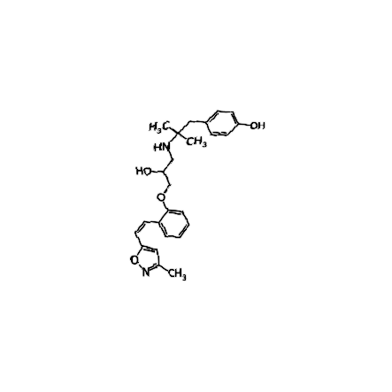 Cc1cc(/C=C\c2ccccc2OCC(O)CNC(C)(C)Cc2ccc(O)cc2)on1